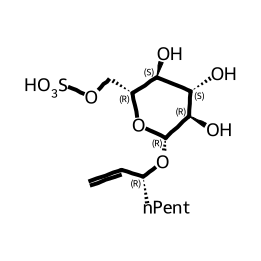 C=C[C@@H](CCCCC)O[C@@H]1O[C@H](COS(=O)(=O)O)[C@@H](O)[C@H](O)[C@H]1O